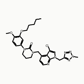 CCCCCOc1cc(N2CCCN(Cc3ccnc4c3c(Cl)cn4Cc3nnn(C)n3)C2=O)ccc1OC